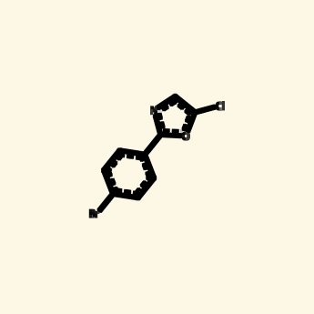 Clc1cnc(-c2ccc(Br)cc2)o1